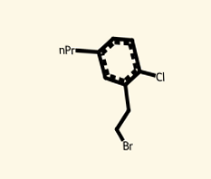 [CH2]CCc1ccc(Cl)c(CCBr)c1